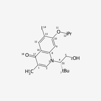 Cc1cn([C@H](CO)C(C)(C)C)c2cc(OC(C)C)c(I)cc2c1=O